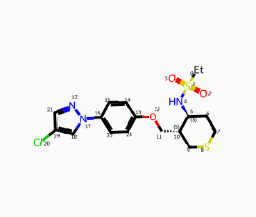 CCS(=O)(=O)N[C@H]1CCSC[C@@H]1COc1ccc(-n2cc(Cl)cn2)cc1